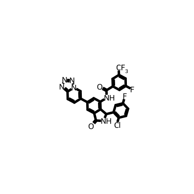 O=C(Nc1cc(-c2ccc3nnnn3c2)cc2c1C(c1cc(F)ccc1Cl)NC2=O)c1cc(F)cc(C(F)(F)F)c1